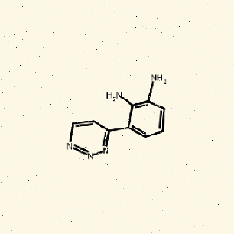 Nc1cccc(-c2ccnnn2)c1N